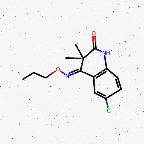 CCCON=C1c2cc(Cl)ccc2NC(=O)C1(C)C